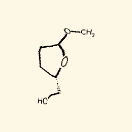 COC1CC[C@@H](CO)O1